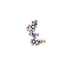 O=C(C=C1CCCOc2cc(C(F)(F)F)ccc21)NCCc1cccc2c1CC(O)CC2